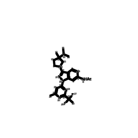 CC(=O)Nc1cc2c(cn1)c(N1CCC(C)(N(C)C)C1)nn2-c1cc(C)nc(C(C)(F)F)n1